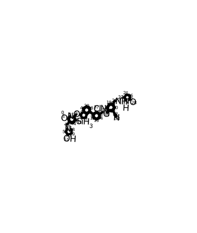 COc1nc(O[C@@H]2CCc3c(-c4cccc(-c5nc6cc(CNC[C@@H]7CCC(=O)N7)cc(C#N)c6o5)c4Cl)cccc32)c([SiH3])cc1CN1CC[C@@H](O)C1